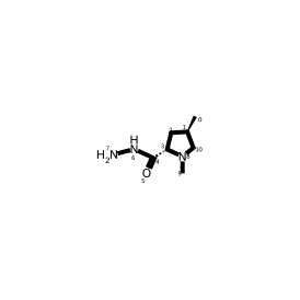 C[C@@H]1C[C@@H](C(=O)NN)N(C)C1